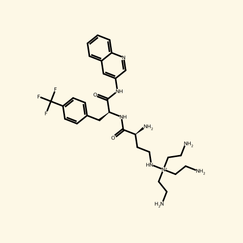 NCC[N+](CCN)(CCN)NCC[C@H](N)C(=O)N[C@@H](Cc1ccc(C(F)(F)F)cc1)C(=O)Nc1cnc2ccccc2c1